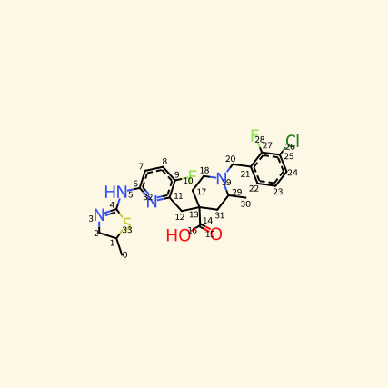 CC1CN=C(Nc2ccc(F)c(CC3(C(=O)O)CCN(Cc4cccc(Cl)c4F)C(C)C3)n2)S1